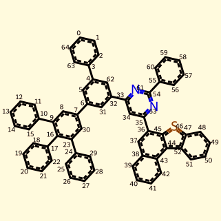 c1ccc(-c2cc(-c3cc(-c4ccccc4)c(-c4ccccc4)c(-c4ccccc4)c3)cc(-c3cc(-c4cc5ccccc5c5c4sc4ccccc45)nc(-c4ccccc4)n3)c2)cc1